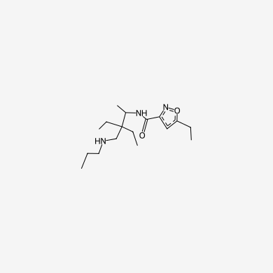 CCCNCC(CC)(CC)C(C)NC(=O)c1cc(CC)on1